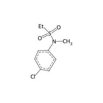 CCS(=O)(=O)N(C)c1ccc(Cl)cc1